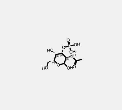 CC(=O)N[C@H]1C(O)O[C@H](CO)[C@H](O)[C@@H]1OP(=O)(O)O